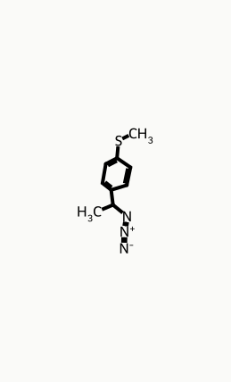 CSc1ccc(C(C)N=[N+]=[N-])cc1